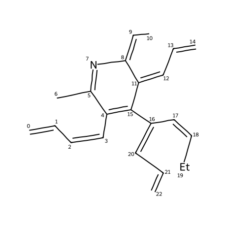 C=C/C=C\c1c(C)nc(=C/C)/c(=C\C=C)c1C(/C=C\CC)=C/C=C